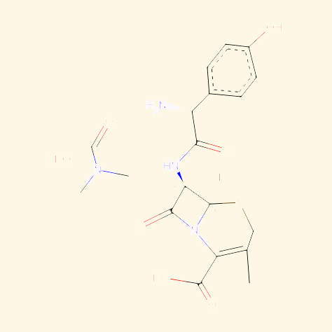 CC1=C(C(=O)O)N2C(=O)[C@@H](NC(=O)[C@H](N)c3ccc(O)cc3)[C@H]2SC1.CN(C)C=O.O